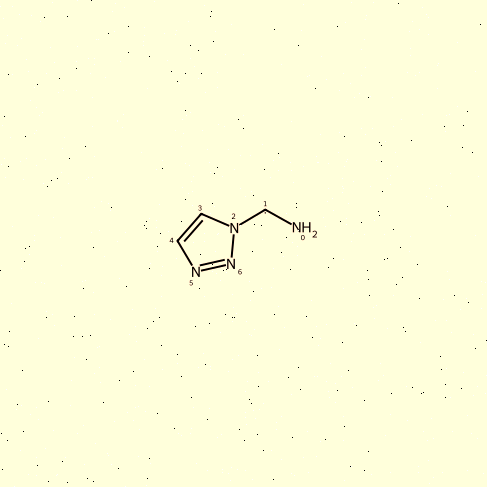 N[CH]n1ccnn1